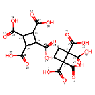 O=C(O)C1(C(=O)O)CCC1(C(=O)O)C(=O)O.O=C(O)C1C(C(=O)O)C(C(=O)O)C1C(=O)O